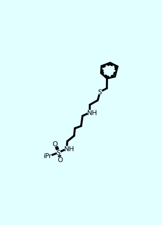 CC(C)S(=O)(=O)NCCCCCNCCSCc1ccccc1